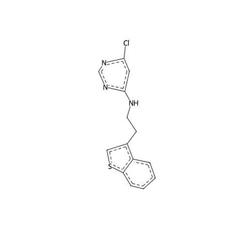 Clc1cc(NCCc2csc3ccccc23)ncn1